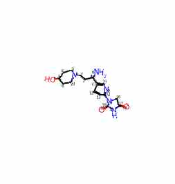 N[C@H](CCN1CCC(O)CC1)c1ccc(N2CC(=O)NC2=O)nc1